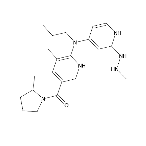 CCCN(C1=CC(NNC)NC=C1)C1=C(C)C=C(C(=O)N2CCCC2C)CN1